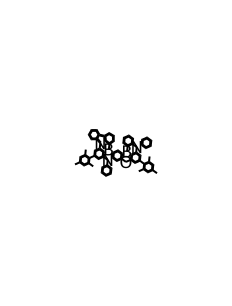 Cc1cc(C)c(-c2cc3c4c(c2)N(c2ccccc2)c2ccccc2B4c2cc4c(cc2O3)N(c2ccccc2)c2cc(-c3c(C)cc(C)cc3C)cc3c2B4c2cccc4c5ccccc5n-3c24)c(C)c1